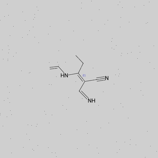 C=CN/C(CC)=C(/C#N)C=N